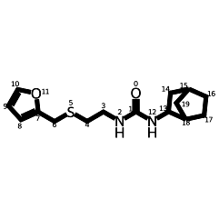 O=C(NCCSCc1ccco1)NC1CC2CCC1C2